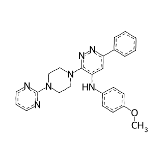 COc1ccc(Nc2cc(-c3ccccc3)nnc2N2CCN(c3ncccn3)CC2)cc1